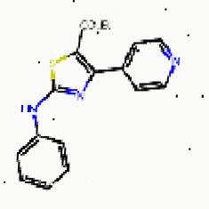 CCOC(=O)c1sc(Nc2ccccc2)nc1-c1ccncc1